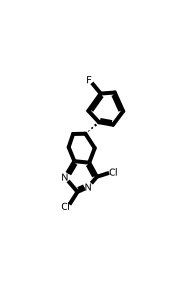 Fc1cccc([C@H]2CCc3nc(Cl)nc(Cl)c3C2)c1